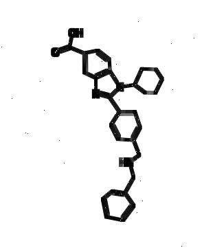 O=C(O)c1ccc2c(c1)nc(-c1ccc(CNCc3ccccc3)cc1)n2C1CCCCC1